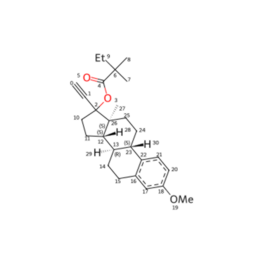 C#CC1(OC(=O)C(C)(C)CC)CC[C@H]2[C@@H]3CCc4cc(OC)ccc4[C@H]3CC[C@@]21C